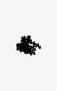 CCCCOC(=O)[C@@H]1CCCN1C(=O)[C@H](CC(C)C)NC(=O)[C@@H](NC)C(C)C